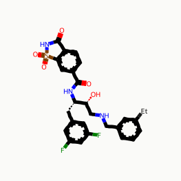 CCc1cccc(CNC[C@@H](O)[C@H](Cc2cc(F)cc(F)c2)NC(=O)c2ccc3c(c2)S(=O)(=O)NC3=O)c1